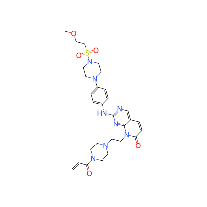 C=CC(=O)N1CCN(CCn2c(=O)ccc3cnc(Nc4ccc(N5CCN(S(=O)(=O)CCOC)CC5)cc4)nc32)CC1